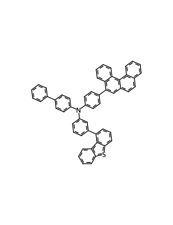 c1ccc(-c2ccc(N(c3ccc(-c4cc5ccc6ccccc6c5c5ccccc45)cc3)c3cccc(-c4cccc5sc6ccccc6c45)c3)cc2)cc1